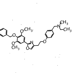 CCN(C)Cc1ccc(OCCc2coc(-c3cc(OC)c(OCc4ccccc4)c(OC)c3)n2)cc1